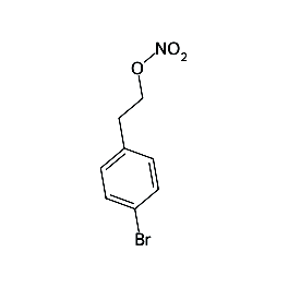 O=[N+]([O-])OCCc1ccc(Br)cc1